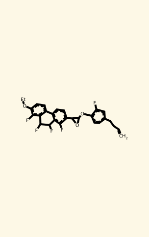 C=CCCc1ccc(OC2OC2c2ccc3c(c2F)C(F)C(F)c2c-3ccc(OCC)c2F)c(F)c1